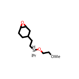 COCCO[SiH](CCC1CCC2OC2C1)C(C)C